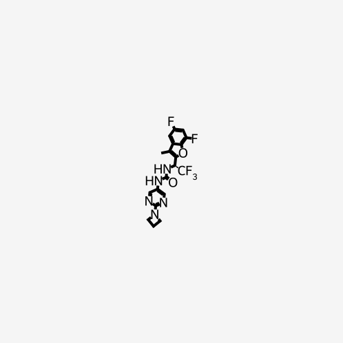 Cc1c([C@@H](NC(=O)Nc2cnc(N3CCC3)nc2)C(F)(F)F)oc2c(F)cc(F)cc12